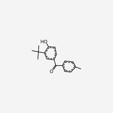 Cc1ccc(C(=O)c2ccc(O)c(C(C)(C)C)c2)cc1